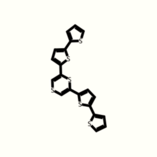 C1=C(c2ccc(-c3cccs3)s2)SC(c2ccc(-c3cccs3)s2)=CS1